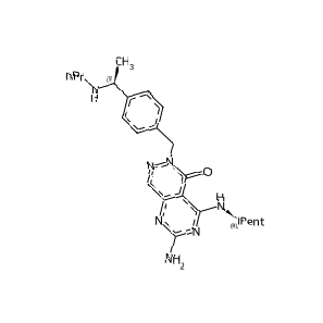 CCCN[C@@H](C)c1ccc(Cn2ncc3nc(N)nc(N[C@H](C)CCC)c3c2=O)cc1